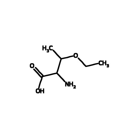 CCOC(C)C(N)C(=O)O